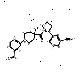 CC1(C(=O)N2OCC[C@H]2c2cncc(C#N)c2)CCN(c2nccc(C=O)n2)CC1